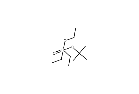 CC[O][Ti](=[O])([CH2]C)([CH2]C)[O]C(C)(C)C